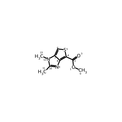 COC(=O)c1scc2c1nc(C)n2C